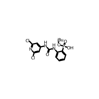 CCC(C)OP(=O)(O)c1ccccc1NC(=O)Nc1cc(Cl)nc(Cl)c1